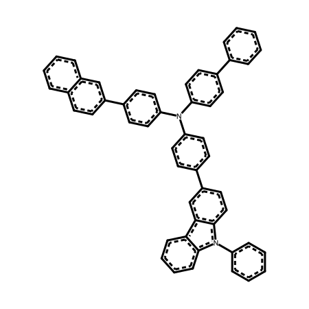 c1ccc(-c2ccc(N(c3ccc(-c4ccc5ccccc5c4)cc3)c3ccc(-c4ccc5c(c4)c4ccccc4n5-c4ccccc4)cc3)cc2)cc1